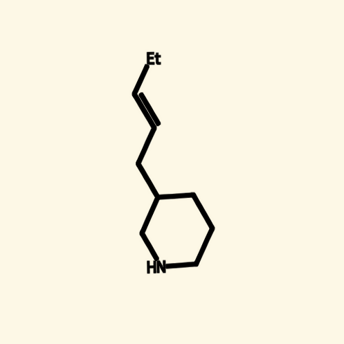 CCC=CCC1CCCNC1